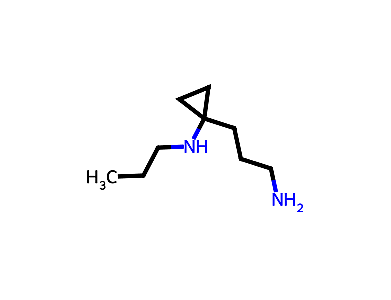 CCCNC1(CCCN)CC1